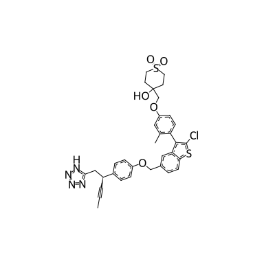 CC#C[C@@H](Cc1nnn[nH]1)c1ccc(OCc2ccc3sc(Cl)c(-c4ccc(OCC5(O)CCS(=O)(=O)CC5)cc4C)c3c2)cc1